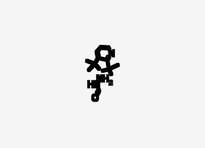 CC(C)(C)c1cccnc1C(C)(C)C.NNC=O